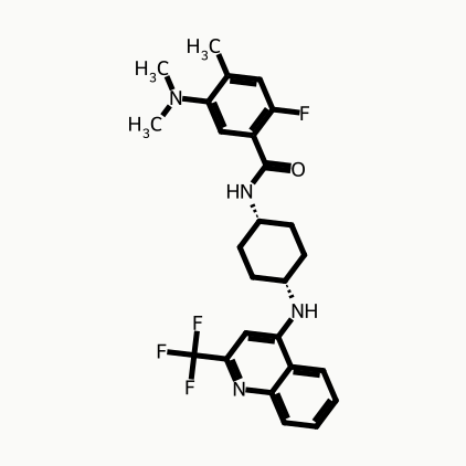 Cc1cc(F)c(C(=O)N[C@H]2CC[C@@H](Nc3cc(C(F)(F)F)nc4ccccc34)CC2)cc1N(C)C